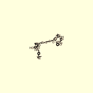 Cc1nc(Nc2ncc(C(=O)Nc3c(C)cccc3Cl)s2)cc(N2CCN(C(=O)CCOCCOCCOCCC(=O)NC(C(=O)N3C[C@H](O)C[C@H]3C(=O)NCc3ccc(-c4scnc4C)cc3)C(C)(C)C)CC2)n1